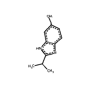 CC(C)c1nc2ccc(O)cc2[nH]1